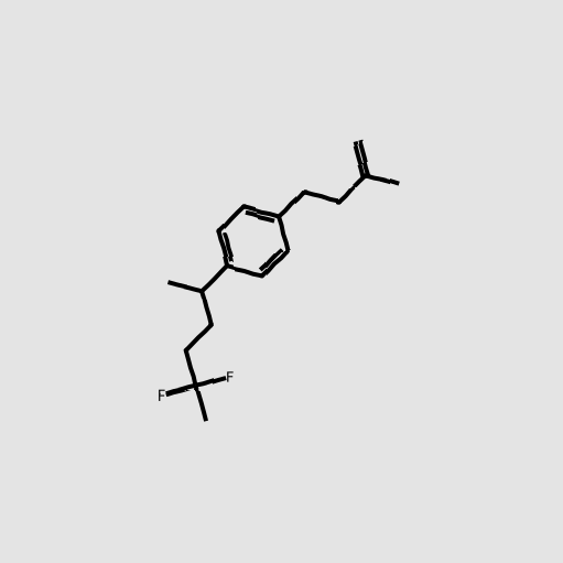 C=C(C)CCc1ccc(C(C)CCC(C)(F)F)cc1